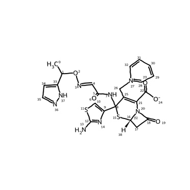 CC(ON=CC(=O)NC1(c2csc(N)n2)S[C@H]2CC(=O)N2C(C(=O)[O-])=C1C[n+]1ccccc1)c1ccn[nH]1